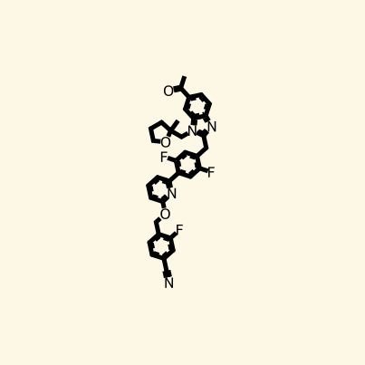 CC(=O)c1ccc2nc(Cc3cc(F)c(-c4cccc(OCc5ccc(C#N)cc5F)n4)cc3F)n(CC3(C)CCCO3)c2c1